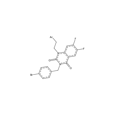 CC(=O)CCn1c(=O)n(Cc2ccc(Br)cc2)c(=O)c2cc(F)c(F)cc21